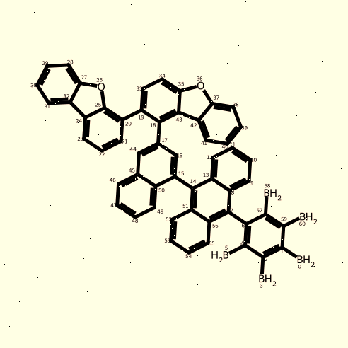 Bc1c(B)c(B)c(-c2c3ccccc3c(-c3cc(-c4c(-c5cccc6c5oc5ccccc56)ccc5oc6ccccc6c45)cc4ccccc34)c3ccccc23)c(B)c1B